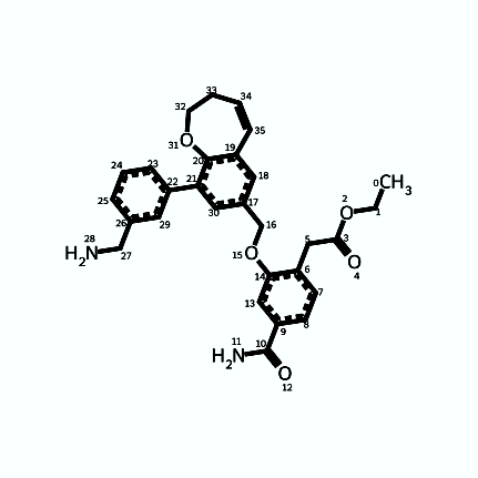 CCOC(=O)Cc1ccc(C(N)=O)cc1OCc1cc2c(c(-c3cccc(CN)c3)c1)OCCC=C2